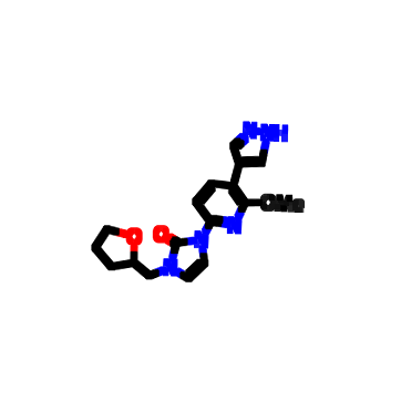 COc1nc(-n2ccn(CC3CCCO3)c2=O)ccc1-c1cn[nH]c1